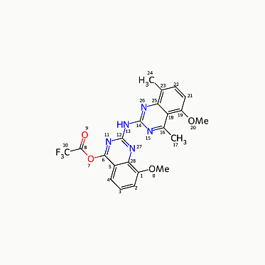 COc1cccc2c(OC(=O)C(F)(F)F)nc(Nc3nc(C)c4c(OC)ccc(C)c4n3)nc12